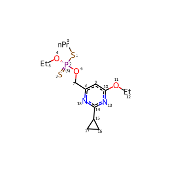 CCCS[P@@](=S)(OCC)OCc1cc(OCC)nc(C2CC2)n1